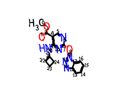 COC(=O)c1cnc(On2nnc3ccccc32)nc1NC1CCC1